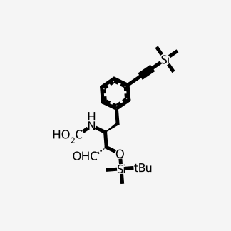 CC(C)(C)[Si](C)(C)O[C@H](C=O)[C@H](Cc1cccc(C#C[Si](C)(C)C)c1)NC(=O)O